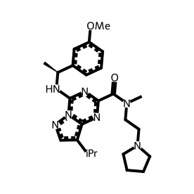 COc1cccc([C@H](C)Nc2nc(C(=O)N(C)CCN3CCCC3)nc3c(C(C)C)cnn23)c1